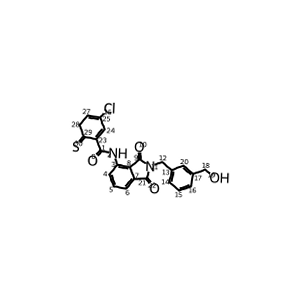 O=C(Nc1cccc2c1C(=O)N(Cc1cccc(CO)c1)C2=O)C1=CC(Cl)=CCC1=S